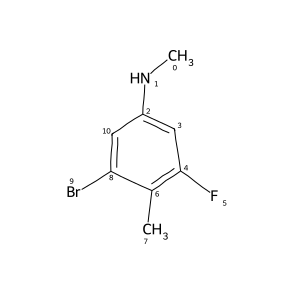 CNc1cc(F)c(C)c(Br)c1